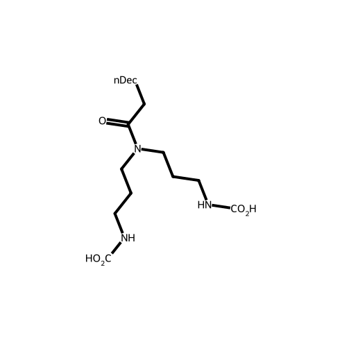 CCCCCCCCCCCC(=O)N(CCCNC(=O)O)CCCNC(=O)O